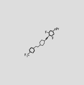 CCCc1cc(F)c(C#CC2CCC(CCc3ccc(C(F)(F)F)cc3)CC2)c(F)c1